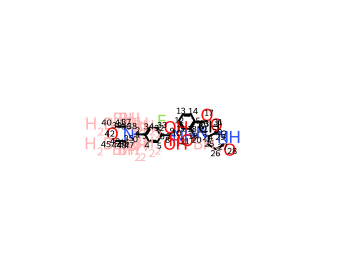 BC(B)(c1ccc(C(O)(O)Nc2cccc(C=O)c2C(B)(O)N(C)C2CCC(=O)NC2=O)c(F)c1)N1C(B)(B)C(B)(B)OC(B)(B)C1(B)B